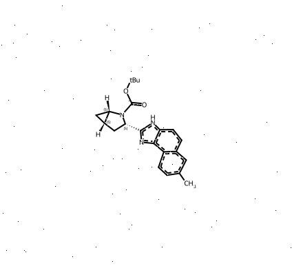 Cc1ccc2c(ccc3[nH]c([C@@H]4C[C@@H]5C[C@@H]5N4C(=O)OC(C)(C)C)nc32)c1